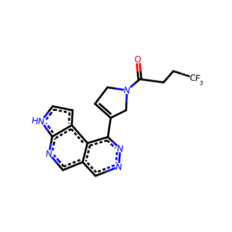 O=C(CCC(F)(F)F)N1CC=C(c2nncc3cnc4[nH]ccc4c23)C1